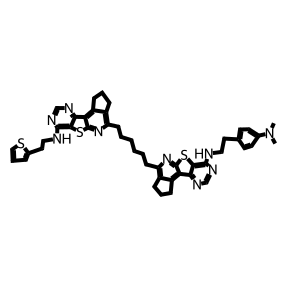 CN(C)c1ccc(CCNc2ncnc3c2sc2nc(CCCCCCc4nc5sc6c(NCCc7cccs7)ncnc6c5c5c4CCC5)c4c(c23)CCC4)cc1